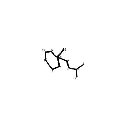 CC(C)CCC1(C)CCCCC1